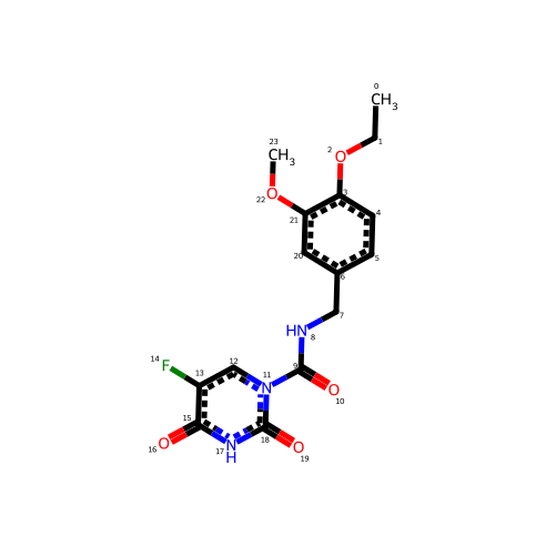 CCOc1ccc(CNC(=O)n2cc(F)c(=O)[nH]c2=O)cc1OC